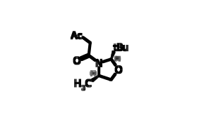 CC(=O)CC(=O)N1[C@H](C)CO[C@@H]1C(C)(C)C